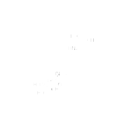 CC(C)CNc1ccc(CNC(=O)OC(C)(C)C)cc1